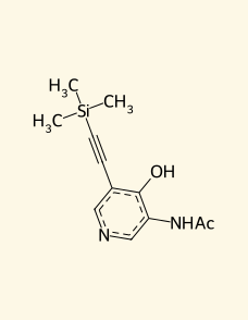 CC(=O)Nc1cncc(C#C[Si](C)(C)C)c1O